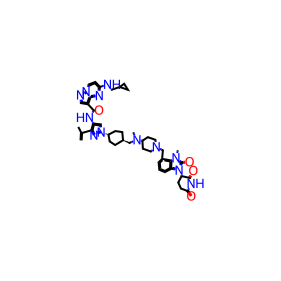 C=C(C)c1nn([C@H]2CC[C@H](CN(C)C3CCN(Cc4cccc5c4n(C)c(=O)n5C4CCC(=O)NC4=O)CC3)CC2)cc1NC(=O)c1cnn2ccc(NCC3CC3)nc12